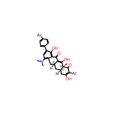 CC(=O)C1=C(O)C[C@@H]2C[C@@H]3Cc4c(N(C)C)cc(-c5ccc(C(C)=O)cc5)c(O)c4C(=O)C3=C(O)[C@]2(C)C1=O